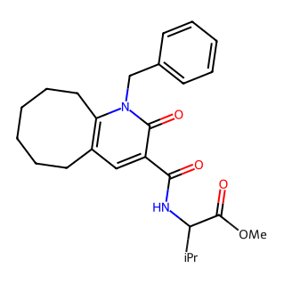 COC(=O)C(NC(=O)c1cc2c(n(Cc3ccccc3)c1=O)CCCCCC2)C(C)C